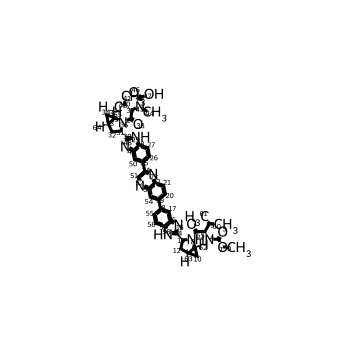 COC(=O)N[C@H](C(=O)N1[C@@H]2C[C@H]2C[C@H]1c1nc2cc(-c3ccc4nc(-c5ccc6[nH]c([C@@H]7C[C@H]8C[C@H]8N7C(=O)[C@H](C(C)C)N(C)C(=O)O)nc6c5)cnc4c3)ccc2[nH]1)C(C)C